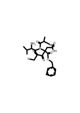 CC(N)C(=O)N(C(=O)C(N)C(C)C)C(CC(=O)O)(C(=O)OCc1ccccc1)C(=O)C(=O)CF